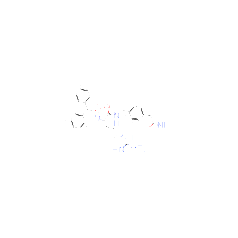 N=C(N)NCCC[C@@H](NC(=O)C(c1ccccc1)c1ccccc1)C(=O)NCc1ccc(CC(N)=O)cc1